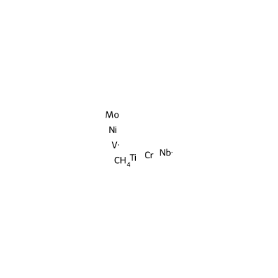 C.[Cr].[Mo].[Nb].[Ni].[Ti].[V]